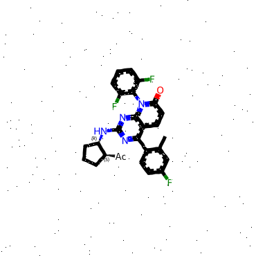 CC(=O)[C@H]1CCC[C@H]1Nc1nc(-c2ccc(F)cc2C)c2ccc(=O)n(-c3c(F)cccc3F)c2n1